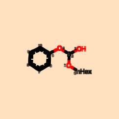 CCCCCCOB(O)Oc1ccccc1